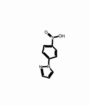 O=S(O)c1ccc(-n2cccn2)cc1